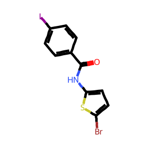 O=C(Nc1ccc(Br)s1)c1ccc(I)cc1